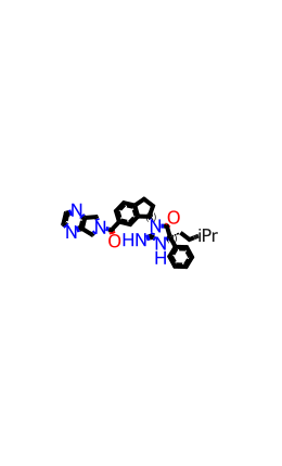 CC(C)CC[C@]1(c2ccccc2)NC(=N)N([C@@H]2CCc3ccc(C(=O)N4Cc5nccnc5C4)cc32)C1=O